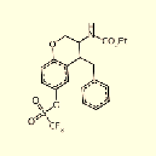 CCOC(=O)NC1COc2ccc(OS(=O)(=O)C(F)(F)F)cc2C1Cc1ccccc1